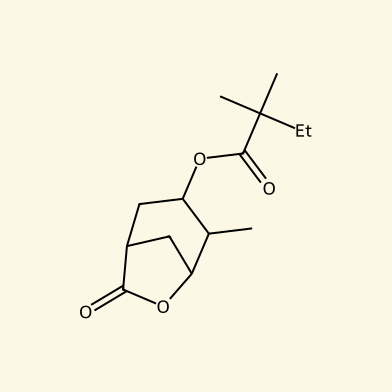 CCC(C)(C)C(=O)OC1CC2CC(OC2=O)C1C